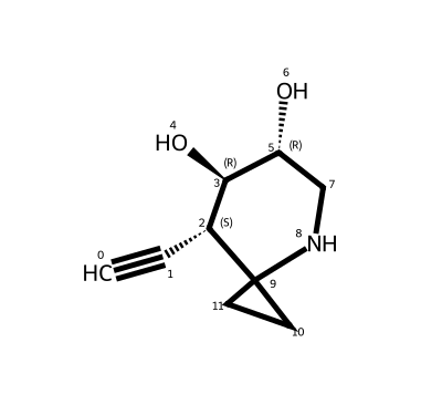 C#C[C@@H]1[C@@H](O)[C@H](O)CNC12CC2